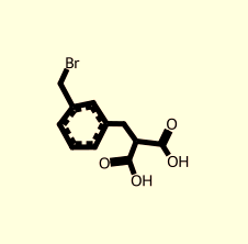 O=C(O)C(Cc1cccc(CBr)c1)C(=O)O